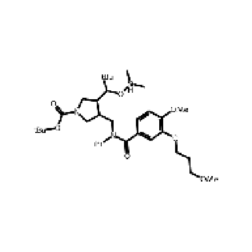 COCCCOc1cc(C(=O)N(CC2CN(C(=O)OC(C)(C)C)CC2C(O[SiH](C)C)C(C)(C)C)C(C)C)ccc1OC